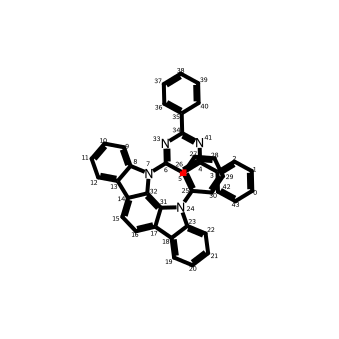 c1ccc(-c2cc(-n3c4ccccc4c4ccc5c6ccccc6n(-c6ccccc6)c5c43)nc(-c3ccccc3)n2)cc1